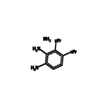 CCCc1ccc(N)c(N)c1CCC.N